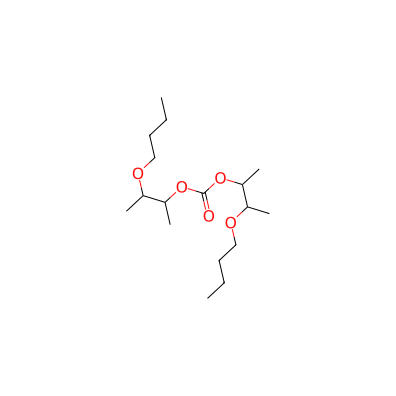 CCCCOC(C)C(C)OC(=O)OC(C)C(C)OCCCC